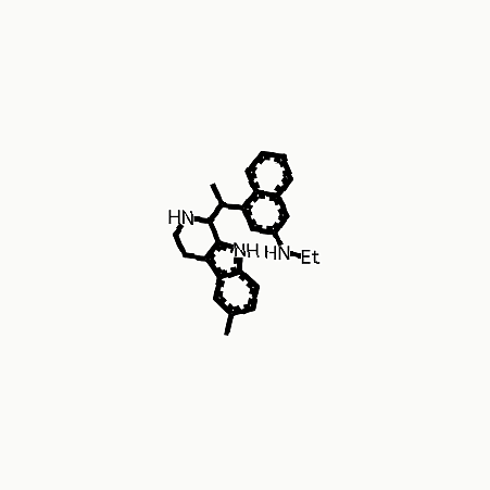 CCNc1cc(C(C)C2NCCc3c2[nH]c2ccc(C)cc32)c2ccccc2c1